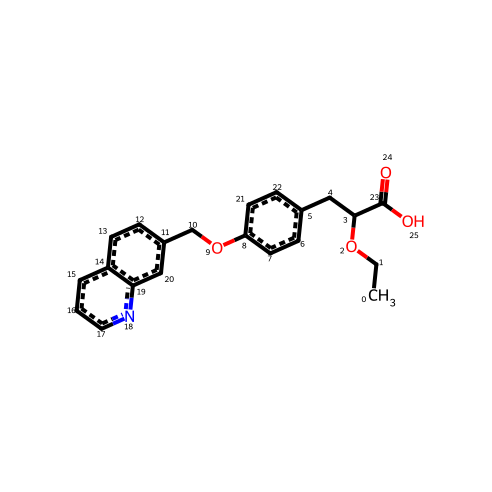 CCOC(Cc1ccc(OCc2ccc3cccnc3c2)cc1)C(=O)O